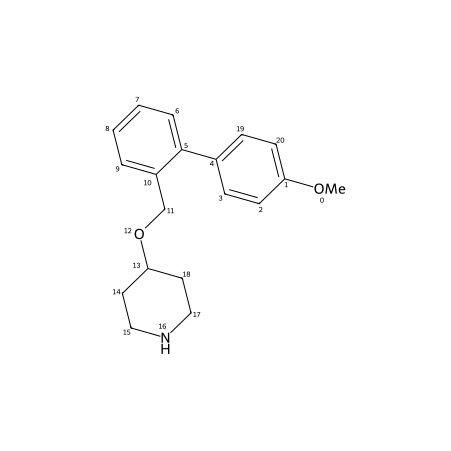 COc1ccc(-c2ccccc2COC2CCNCC2)cc1